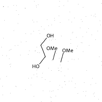 COC.COC.OCCO